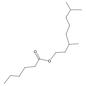 CCCCCC(=O)OCCC(C)CCCC(C)C